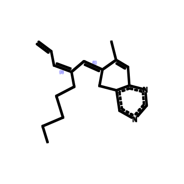 C=C/C=C(\C=C1/Cc2cncnc2C=C1C)CCCCC